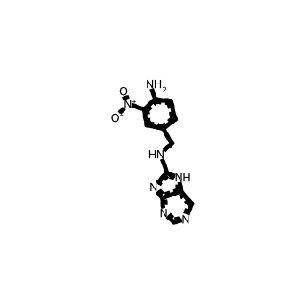 Nc1ccc(CNc2nc3ncncc3[nH]2)cc1[N+](=O)[O-]